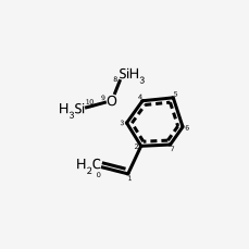 C=Cc1ccccc1.[SiH3]O[SiH3]